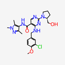 COc1ccc(CNc2nc(N3CCC[C@H]3CO)ncc2C(=O)Nc2c(C)nn(C)c2C)cc1Cl